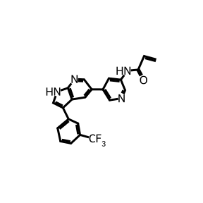 C=CC(=O)Nc1cncc(-c2cnc3[nH]cc(-c4cccc(C(F)(F)F)c4)c3c2)c1